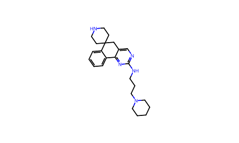 c1ccc2c(c1)-c1nc(NCCCN3CCCCC3)ncc1CC21CCNCC1